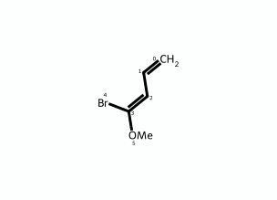 C=C/C=C(\Br)OC